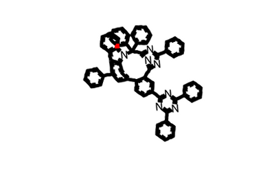 c1ccc(-c2nc(-c3ccccc3)nc(-c3ccc4c(c3)-c3nc(-c5ccccc5)nc(n3)C(c3ccccc3)(c3ccccc3)n3c5ccccc5c5c(-c6ccccc6)cc-4cc53)n2)cc1